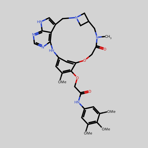 COc1cc(NC(=O)COc2c(OC)cc3cc2OCC(=O)N(C)CC2CN(Cc4c[nH]c5ncnc(c45)N3)C2)cc(OC)c1OC